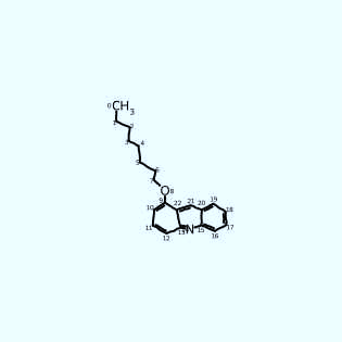 CCCCCCCCOc1cccc2nc3ccccc3cc12